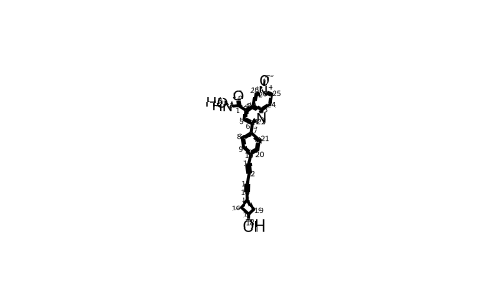 O=C(NO)c1cc(-c2ccc(C#CC#CC3CC(O)C3)cc2)nc2cc[n+]([O-])cc12